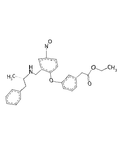 CCOC(=O)Cc1cccc(Oc2ccc(N=O)cc2CN[C@@H](C)Cc2ccccc2)c1